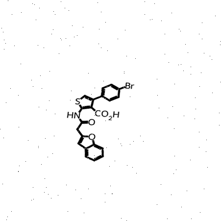 O=C(Cc1cc2ccccc2o1)Nc1scc(-c2ccc(Br)cc2)c1C(=O)O